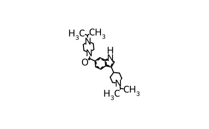 CC(C)N1CCC(c2c[nH]c3cc(C(=O)N4CCN(C(C)C)CC4)ccc23)CC1